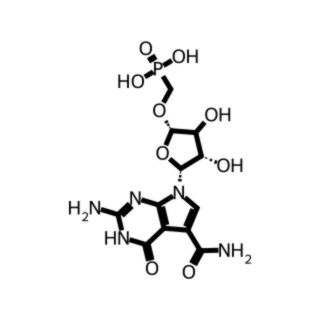 NC(=O)c1cn([C@@H]2O[C@H](OCP(=O)(O)O)C(O)[C@@H]2O)c2nc(N)[nH]c(=O)c12